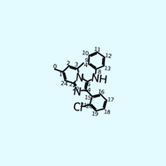 Cc1cc(C)n2c(Nc3ccccc3)c(-c3ccccc3Cl)nc2c1